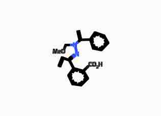 C=C/C(=N\N(COC)C(=C)c1ccccc1)c1ccccc1C(=O)O